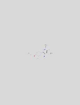 CC(C)COC(=O)N1CCN(c2nc(C3CC3)c3c(c2C#N)CC(C)(C)OC3)C[C@H]1C(C)C